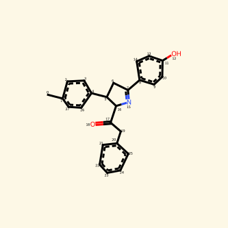 Cc1ccc(C2CC(c3ccc(O)cc3)=NC2C(=O)Cc2ccccc2)cc1